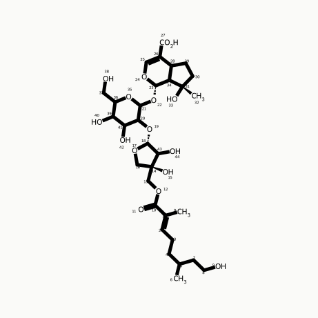 C/C(=C\CCC(C)CCO)C(=O)OC[C@]1(O)CO[C@H](OC2C(O[C@@H]3OC=C(C(=O)O)C4CC[C@](C)(O)C43)OC(CO)C(O)C2O)C1O